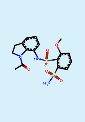 COc1cccc(S(N)(=O)=O)c1S(=O)(=O)Nc1cccc2c1N(C(C)=O)CC2